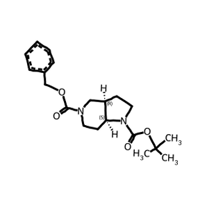 CC(C)(C)OC(=O)N1CC[C@@H]2CN(C(=O)OCc3ccccc3)CC[C@@H]21